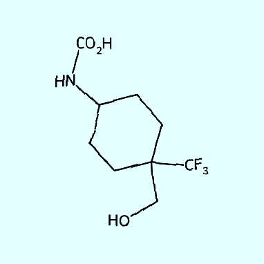 O=C(O)NC1CCC(CO)(C(F)(F)F)CC1